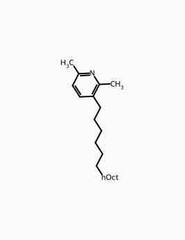 CCCCCCCCCCCCCCc1ccc(C)nc1C